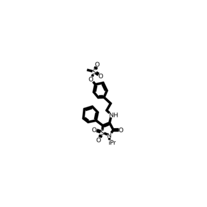 CC(C)N1C(=O)C(NCCc2ccc(OS(C)(=O)=O)cc2)=C(c2ccccc2)S1(=O)=O